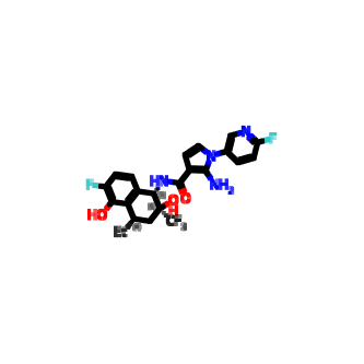 CC[C@@H]1C[C@@](O)(C(F)(F)F)[C@@H](NC(=O)c2ccn(-c3ccc(F)nc3)c2N)c2ccc(F)c(O)c21